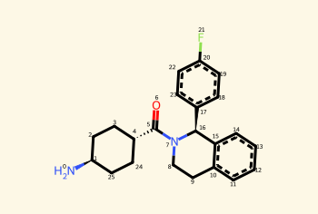 N[C@H]1CC[C@H](C(=O)N2CCc3ccccc3[C@@H]2c2ccc(F)cc2)CC1